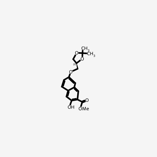 COC(=O)c1cc2cc(OC[C@H]3COC(C)(C)O3)ccc2cc1O